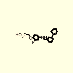 O=C(O)COc1ccc(NCc2cccc(-c3ccccc3)c2)cc1F